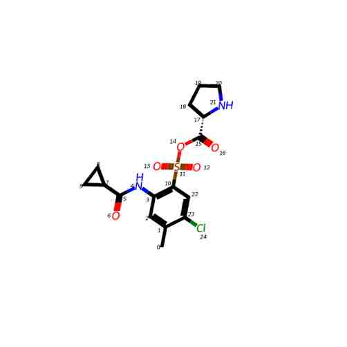 Cc1cc(NC(=O)C2CC2)c(S(=O)(=O)OC(=O)[C@@H]2CCCN2)cc1Cl